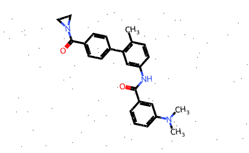 Cc1ccc(NC(=O)c2cccc(N(C)C)c2)cc1-c1ccc(C(=O)N2CC2)cc1